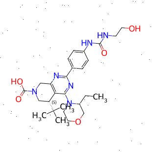 CCC1COCCN1c1nc(-c2ccc(NC(=O)NCCO)cc2)nc2c1[C@H](C(C)(C)C)CN(C(=O)O)C2